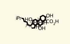 CC(C)CCC[C@@H](C)[C@H]1CC[C@H]2[C@@H]3[C@H](O)C[C@H]4[C@@H](C(=O)O)[C@H](O)CC[C@]4(C)[C@H]3C[C@H](O)[C@]12C